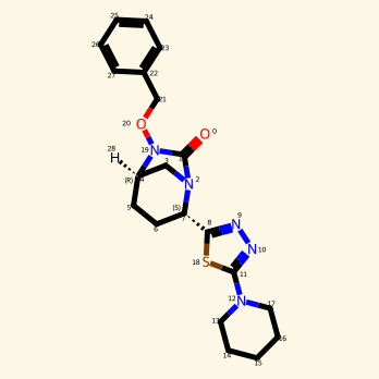 O=C1N2C[C@@H](CC[C@H]2c2nnc(N3CCCCC3)s2)N1OCc1ccccc1